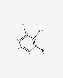 Fc1c(Br)cncc1I